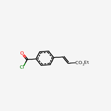 CCOC(=O)C=Cc1ccc(C(=O)Cl)cc1